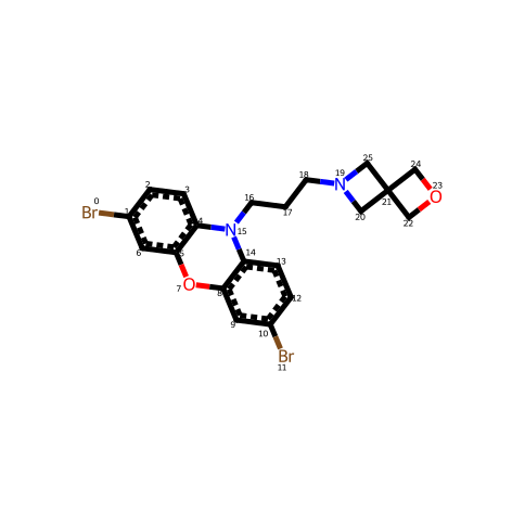 Brc1ccc2c(c1)Oc1cc(Br)ccc1N2CCCN1CC2(COC2)C1